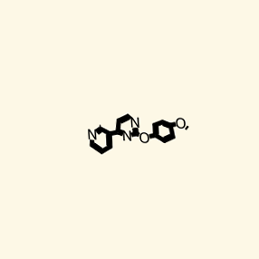 COc1ccc(Oc2nccc(-c3[c]nccc3)n2)cc1